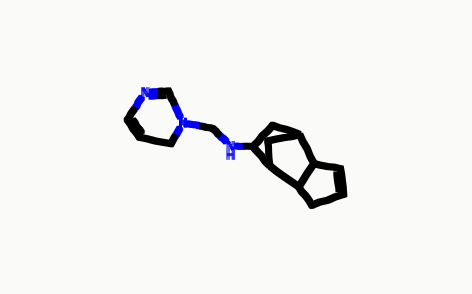 C1=CC2C3CC(NCN4C=NC=CC4)C(C3)C2C1